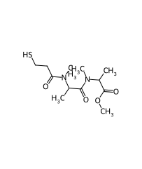 COC(=O)C(C)N(C)C(=O)C(C)N(C)C(=O)CCS